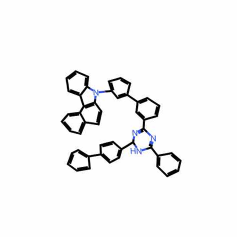 c1ccc(C2=NC(c3cccc(-c4cccc(-n5c6ccccc6c6c7ccccc7ccc65)c4)c3)=NC(c3ccc(-c4ccccc4)cc3)N2)cc1